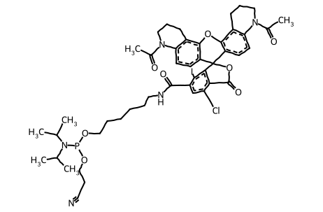 CC(=O)N1CCCc2c1ccc1c2Oc2c(ccc3c2CCCN3C(C)=O)C12OC(=O)c1c(Cl)cc(C(=O)NCCCCCCOP(OCCC#N)N(C(C)C)C(C)C)c(I)c12